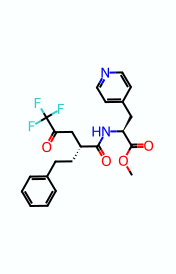 COC(=O)[C@H](Cc1ccncc1)NC(=O)[C@H](CCc1ccccc1)CC(=O)C(F)(F)F